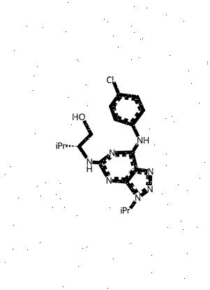 CC(C)[C@H](CO)Nc1nc(Nc2ccc(Cl)cc2)c2nnn(C(C)C)c2n1